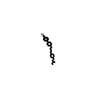 C=C(CC)CCC1CCC(CCCCC2CCC(c3ccc(C#N)cc3)CC2)CC1